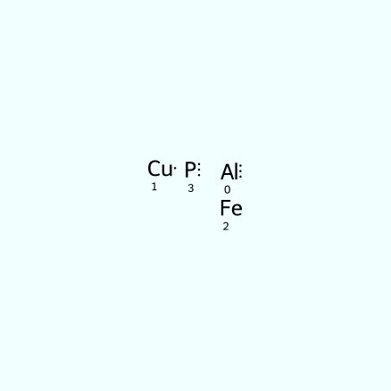 [Al].[Cu].[Fe].[P]